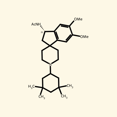 COc1cc2c(cc1OC)C1(CCN(C3CC(C)(C)CC(C)(C)C3)CC1)C[C@@H]2NC(C)=O